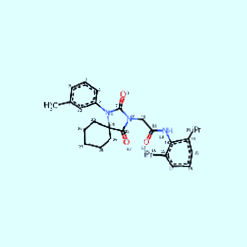 Cc1cccc(N2C(=O)N(CC(=O)Nc3c(C(C)C)cccc3C(C)C)C(=O)C23CCCCC3)c1